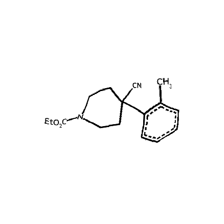 CCOC(=O)N1CCC(C#N)(c2ccccc2C)CC1